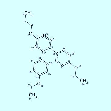 CCCOc1nnc(-c2ccc(OCC)cc2)c(-c2ccc(OCC)cc2)n1